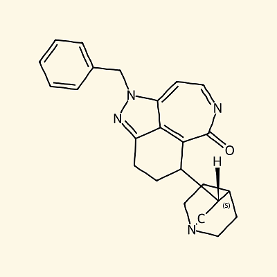 O=c1nccc2c3c(nn2Cc2ccccc2)CCC([C@H]2CN4CCC2CC4)c13